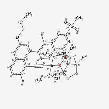 COCOc1cc(-c2ncc3c([C@@H]4C[C@H]5CC[C@@H](C4)N5C(=O)O)nc(S(C)(=O)=O)nc3c2F)c2c(C#C[Si](C(C)C)(C(C)C)C(C)C)c(F)ccc2c1